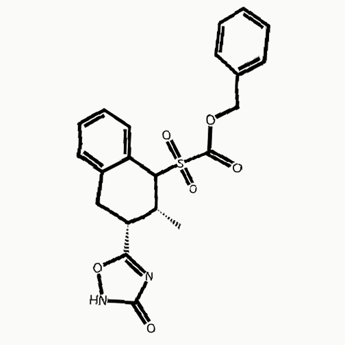 C[C@H]1C(S(=O)(=O)C(=O)OCc2ccccc2)c2ccccc2C[C@H]1c1nc(=O)[nH]o1